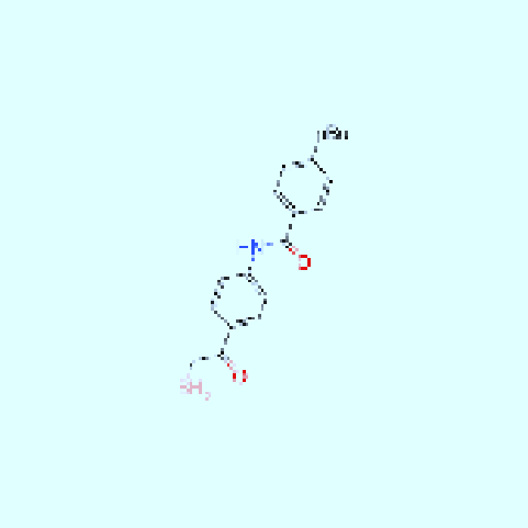 BCC(=O)c1ccc(NC(=O)c2ccc(CCCC)cc2)cc1